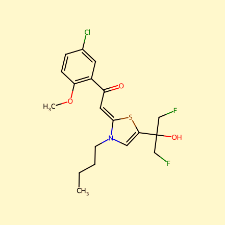 CCCCN1C=C(C(O)(CF)CF)S/C1=C\C(=O)c1cc(Cl)ccc1OC